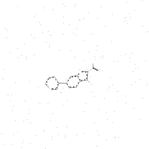 C=C(OC)c1[nH]c2cc(-c3cccnc3)ccc2c1Br